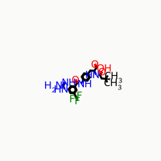 CC(C)CC(=O)NC(Cc1ccc(NC(=O)c2cc(NC(=N)N)cc(C(F)(F)F)c2)cc1)C(=O)O